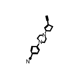 C#CC1=C[C@H](N2CCN(c3ccc(C#N)cc3)CC2)CC1